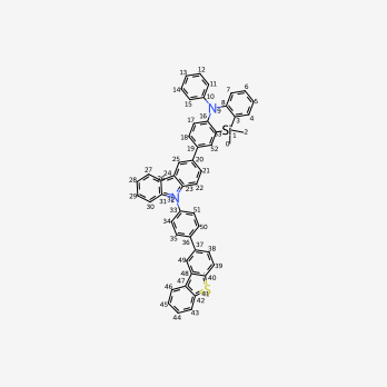 C[Si]1(C)c2ccccc2N(c2ccccc2)c2ccc(-c3ccc4c(c3)c3ccccc3n4-c3ccc(-c4ccc5sc6ccccc6c5c4)cc3)cc21